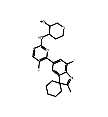 CC1=Nc2c(F)cc(-c3nc(NC4CCOCC4O)ncc3Cl)cc2C12CCCCC2